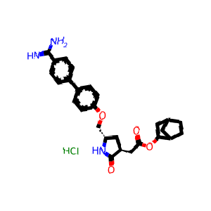 Cl.N=C(N)c1ccc(-c2ccc(OC[C@@H]3C[C@@H](CC(=O)OC4CC5CCC4C5)C(=O)N3)cc2)cc1